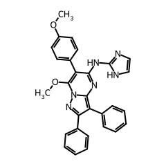 COc1ccc(-c2c(Nc3ncc[nH]3)nc3c(-c4ccccc4)c(-c4ccccc4)nn3c2OC)cc1